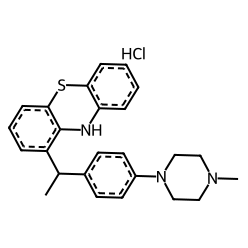 CC(c1ccc(N2CCN(C)CC2)cc1)c1cccc2c1Nc1ccccc1S2.Cl